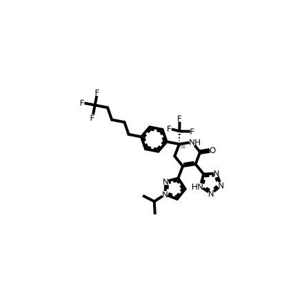 CC(C)n1ccc(C2=C(c3nnn[nH]3)C(=O)N[C@@](c3ccc(CCCCC(F)(F)F)cc3)(C(F)(F)F)C2)n1